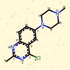 Cc1nc(Cl)c2cc(N3CCN(C)CC3)ccc2n1